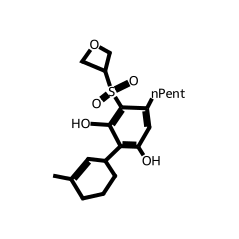 CCCCCc1cc(O)c(C2C=C(C)CCC2)c(O)c1S(=O)(=O)C1COC1